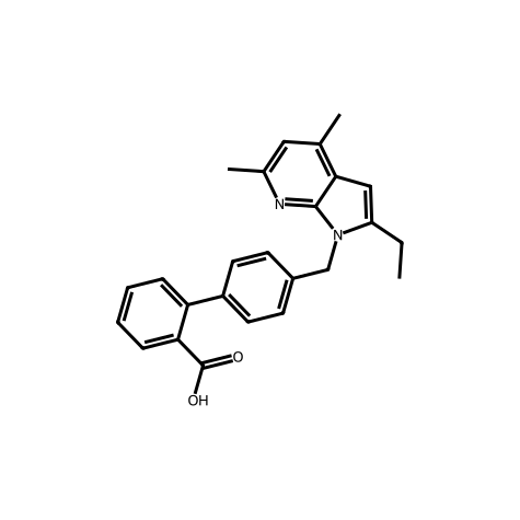 CCc1cc2c(C)cc(C)nc2n1Cc1ccc(-c2ccccc2C(=O)O)cc1